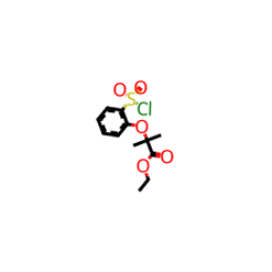 CCOC(=O)C(C)(C)Oc1ccccc1S(=O)(=O)Cl